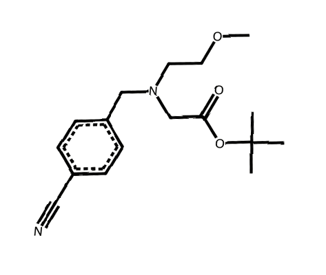 COCCN(CC(=O)OC(C)(C)C)Cc1ccc(C#N)cc1